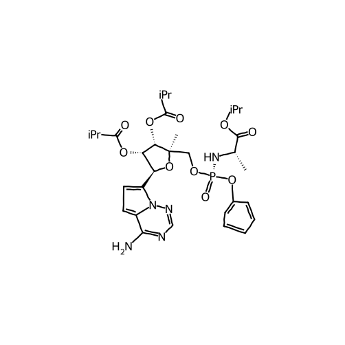 CC(C)OC(=O)[C@H](C)N[P@](=O)(OC[C@@]1(C)O[C@@H](c2ccc3c(N)ncnn23)[C@H](OC(=O)C(C)C)[C@@H]1OC(=O)C(C)C)Oc1ccccc1